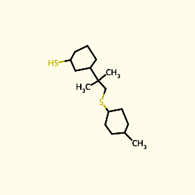 CC1CCC(SCC(C)(C)C2CCCC(S)C2)CC1